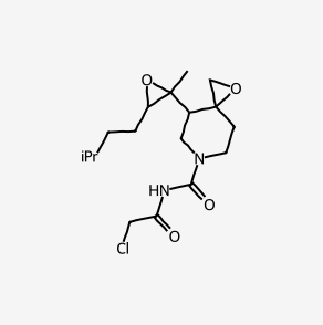 CC(C)CCC1OC1(C)C1CN(C(=O)NC(=O)CCl)CCC12CO2